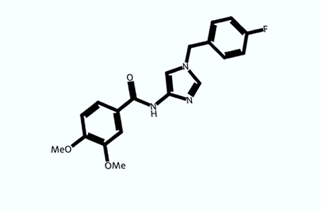 COc1ccc(C(=O)Nc2cn(Cc3ccc(F)cc3)cn2)cc1OC